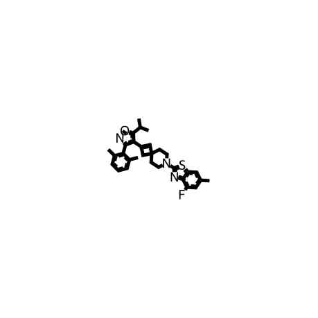 Cc1cc(F)c2nc(N3CCC4(C=C(c5c(-c6c(C)cccc6C)noc5C(C)C)C4)CC3)sc2c1